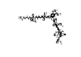 NCCCC[C@H](N)C(=O)NCCCCCC(=O)NCCOc1cc(CS)c(CS)cc1OCCNC(=O)[C@@H](N)CCCCNC(=O)C(N)(O)CCCCN